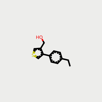 CCc1ccc(-c2cscc2CO)cc1